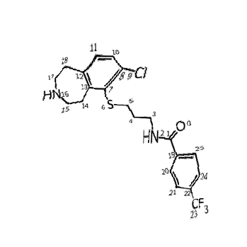 O=C(NCCCSc1c(Cl)ccc2c1CCNCC2)c1ccc(C(F)(F)F)cc1